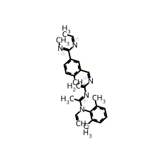 C=CN(/C(C)=N/C(=C)/N=C\c1cc(C(/N=C\C)=N/C)ccc1C)c1c(C)cccc1C